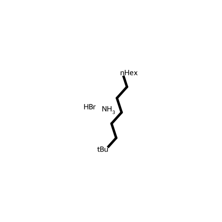 Br.CCCCCCCCCCCC(C)(C)C.N